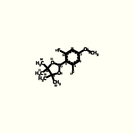 COc1cc(F)c(B2OC(C)(C)C(C)(C)O2)c(F)c1